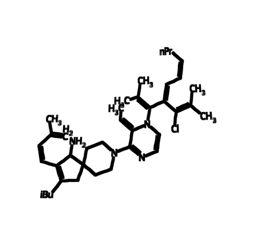 C=C(C)/C=C\C1=C(C(C)CC)CC2(CCN(C3=NC=CN(C(=C(C)C)/C(=C/C=C\CCC)C(Cl)=C(C)C)/C3=C\C)CC2)C1N